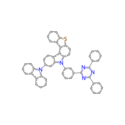 c1ccc(-c2nc(-c3ccccc3)nc(-c3cccc(-n4c5cc(-n6c7ccccc7c7ccccc76)ccc5c5c6c(ccc54)sc4ccccc46)c3)n2)cc1